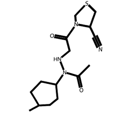 CC(=O)N(NCC(=O)N1CSCC1C#N)C1CCC(C)CC1